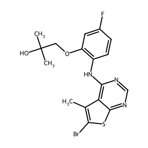 Cc1c(Br)sc2ncnc(Nc3ccc(F)cc3OCC(C)(C)O)c12